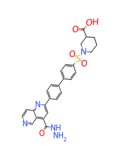 NNC(=O)c1cc(-c2ccc(-c3ccc(S(=O)(=O)N4CCCC(C(=O)O)C4)cc3)cc2)nc2ccncc12